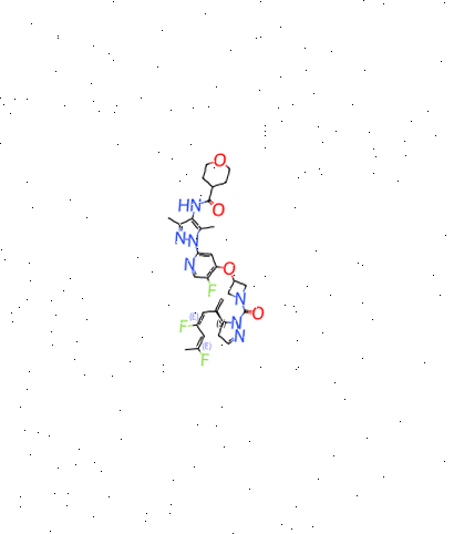 C=C(/C=C(F)\C=C(/C)F)[C@@H]1CC=NN1C(=O)N1CC(Oc2cc(-n3nc(C)c(NC(=O)C4CCOCC4)c3C)ncc2F)C1